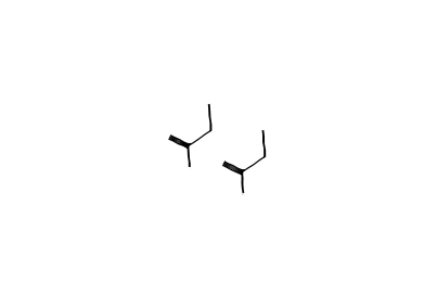 CCC(=O)[O-].CCC(=O)[O-].[PbH2+2]